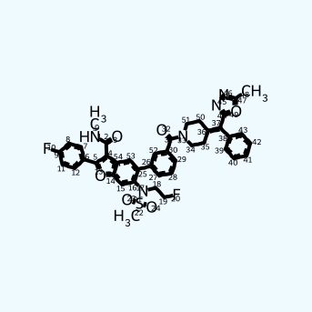 CNC(=O)c1c(-c2ccc(F)cc2)oc2cc(N(CCF)S(C)(=O)=O)c(-c3cccc(C(=O)N4CCC(=C(c5ccccc5)c5nnc(C)o5)CC4)c3)cc12